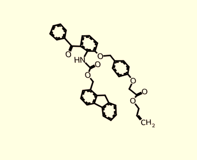 C=CCOC(=O)COc1ccc(COc2cccc(C(=O)c3ccccc3)c2NC(=O)OCc2cccc3c2Cc2ccccc2-3)cc1